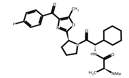 CN[C@@H](C)C(=O)N[C@H](C(=O)N1CCC[C@H]1c1nc(C(=O)c2ccc(F)cc2)c(C)o1)C1CCCCC1